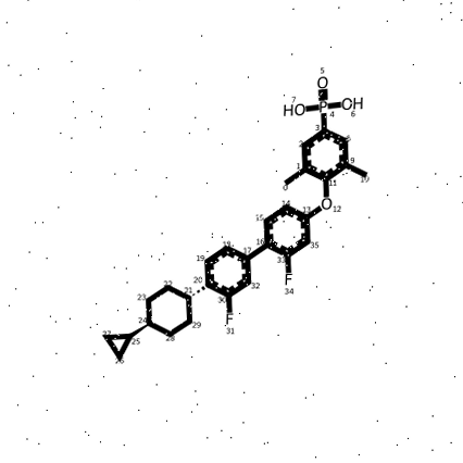 Cc1cc(P(=O)(O)O)cc(C)c1Oc1ccc(-c2ccc([C@H]3CC[C@H](C4CC4)CC3)c(F)c2)c(F)c1